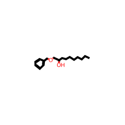 CCCCCCCCC(O)COCc1ccccc1